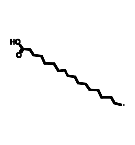 [CH2]CCCCCCCCCCCCCCCCC(=O)O